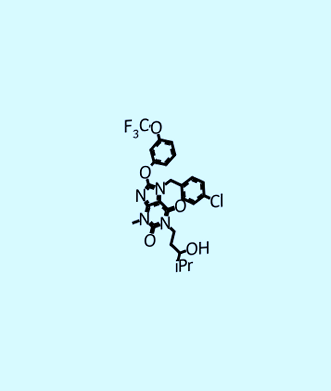 CC(C)C(O)CCn1c(=O)c2c(nc(Oc3cccc(OC(F)(F)F)c3)n2Cc2ccc(Cl)cc2)n(C)c1=O